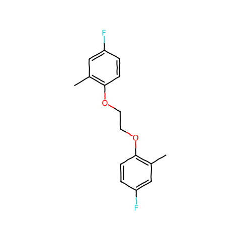 Cc1cc(F)ccc1OCCOc1ccc(F)cc1C